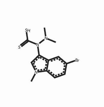 CN(C)N(C(=S)S)c1cn(C)c2ccc(Br)cc12